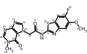 COc1cc2nc(NC(=O)Cn3cnc4ncn(C)c(=O)c43)sc2cc1F